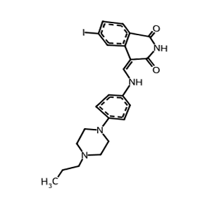 CCCN1CCN(c2ccc(NC=C3C(=O)NC(=O)c4ccc(I)cc43)cc2)CC1